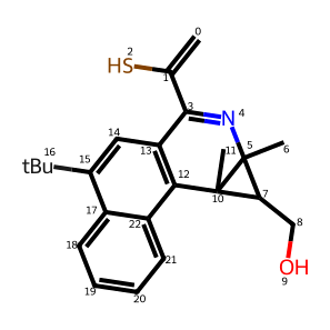 C=C(S)C1=NC2(C)C(CO)C2(C)c2c1cc(C(C)(C)C)c1ccccc21